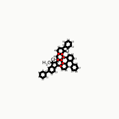 CC1(C)c2cc(-c3ccccc3)ccc2-c2ccc(N(c3cccc(-c4ccccc4)c3-c3ccccc3-c3ccccc3)c3cccc4c3oc3ccccc34)cc21